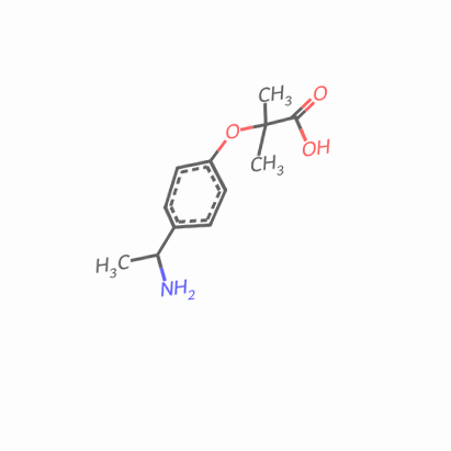 CC(N)c1ccc(OC(C)(C)C(=O)O)cc1